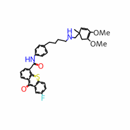 COC1=C(OC)CC(C)(CNCCCCc2ccc(NC(=O)c3cccc4c(=O)c5cc(F)ccc5sc34)cc2)C=C1